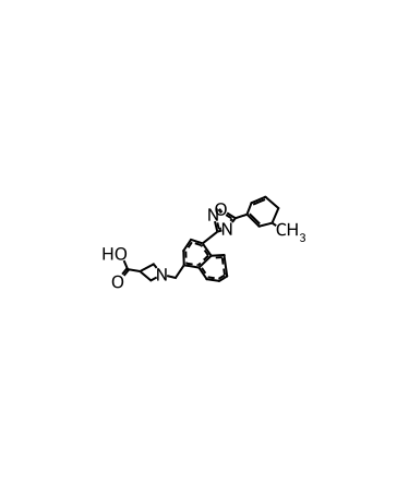 CC1C=C(c2nc(-c3ccc(CN4CC(C(=O)O)C4)c4ccccc34)no2)C=CC1